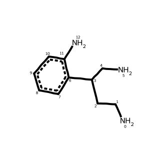 NCCC(CN)c1ccccc1N